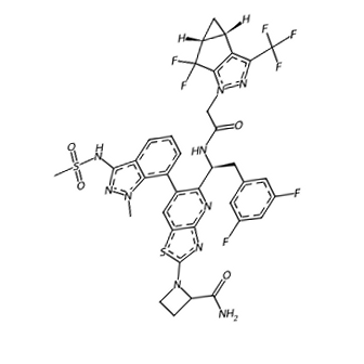 Cn1nc(NS(C)(=O)=O)c2cccc(-c3cc4sc(N5CCC5C(N)=O)nc4nc3[C@H](Cc3cc(F)cc(F)c3)NC(=O)Cn3nc(C(F)(F)F)c4c3C(F)(F)[C@@H]3C[C@H]43)c21